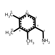 Cc1ncc(CN)c(C)c1C